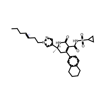 CCC/C=C/CCn1cc([C@]2(C)CC(c3ccc4c(c3)CCCC4)=C(C(=O)NS(=O)(=O)C3CC3)C(=O)N2)cn1